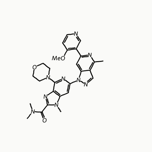 COc1ccncc1-c1cc2c(cnn2-c2cc3c(nc(C(=O)N(C)C)n3C)c(N3CCOCC3)n2)c(C)n1